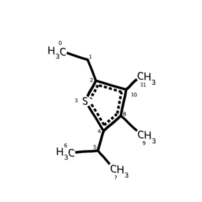 CCc1sc(C(C)C)c(C)c1C